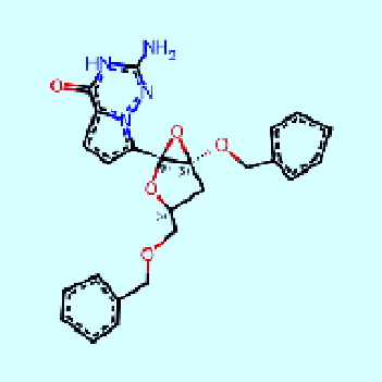 Nc1nn2c([C@]34O[C@H](COCc5ccccc5)C[C@]3(OCc3ccccc3)O4)ccc2c(=O)[nH]1